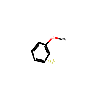 CC(C)Oc1ccccc1.S